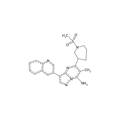 Cc1c(C2CCCN(S(C)(=O)=O)C2)nc2c(-c3cnc4ccccc4c3)cnn2c1N